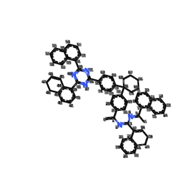 C=C(/N=C(\N=C(/C)c1cccc2ccccc12)C1=CCCc2ccccc21)c1ccc(C2(c3ccc(-c4nc(-c5cccc6c5C=CCC6)nc(-c5cccc6ccccc56)n4)cc3)CCCCC2)cc1